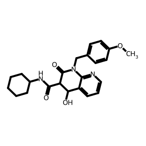 COc1ccc(CN2C(=O)C(C(=O)NC3CCCCC3)C(O)c3cccnc32)cc1